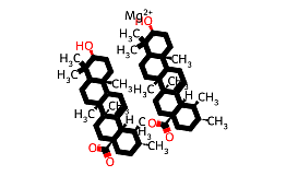 C[C@H]1[C@H](C)CC[C@]2(C(=O)[O-])CC[C@]3(C)C(=CCC4[C@@]5(C)CC[C@H](O)C(C)(C)C5CC[C@]43C)[C@H]12.C[C@H]1[C@H](C)CC[C@]2(C(=O)[O-])CC[C@]3(C)C(=CCC4[C@@]5(C)CC[C@H](O)C(C)(C)C5CC[C@]43C)[C@H]12.[Mg+2]